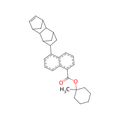 CC1(OC(=O)c2cccc3c(C4CC5CC4C4C6C=CC(C6)C54)cccc23)CCCCC1